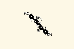 Bc1c(-c2ccc(O)cc2I)sc2c1sc1c3sc(-c4ccc(O)cc4I)c(Br)c3sc21